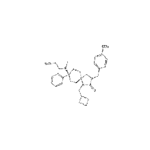 COCCN(C)[C@]1(c2ccccc2)CC[C@@]2(CC1)CN(Cc1ccc(OC)cc1)C(=O)N2CC1CCC1